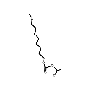 COCCOCCOCCOC(=O)OC(C)Cl